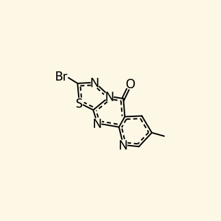 Cc1cnc2nc3sc(Br)nn3c(=O)c2c1